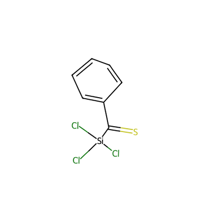 S=C(c1ccccc1)[Si](Cl)(Cl)Cl